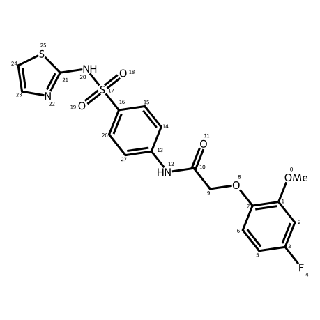 COc1cc(F)ccc1OCC(=O)Nc1ccc(S(=O)(=O)Nc2nccs2)cc1